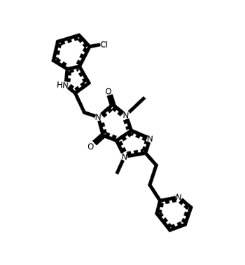 Cn1c(CCc2ccccn2)nc2c1c(=O)n(Cc1cc3c(Cl)cccc3[nH]1)c(=O)n2C